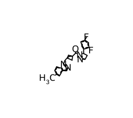 Cc1ccc2c(cnn2CC23CC(C(=O)N4N=CCC4c4ccc(F)cc4F)(C2)C3)c1